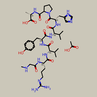 CC(=O)O.CNCC(=O)N[C@@H](CCCN=C(N)N)C(=O)N[C@H](C(=O)N[C@@H](Cc1ccc(O)cc1)C(=O)N[C@H](C(=O)N[C@@H](Cc1cnc[nH]1)C(=O)N1CCCC1C(=O)N[C@@H](C)C(=O)O)C(C)C)C(C)C